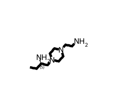 CC[C@H](N)CN1CCN(CCN)CC1